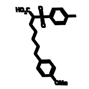 COc1ccc(CCCCCC(C(=O)O)S(=O)(=O)c2ccc(C)cc2)cc1